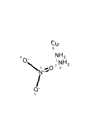 N.N.O=[N+]([O-])[O-].[Cu]